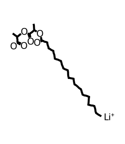 CCCCCCCCCCCCCCCCCC(=O)OC(C)C(=O)OC(C)C(=O)[O-].[Li+]